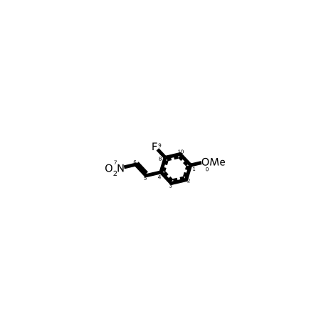 COc1ccc(/C=C/[N+](=O)[O-])c(F)c1